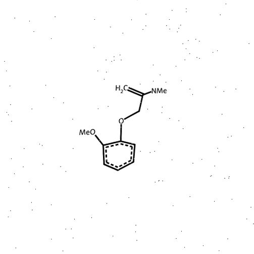 C=C(COc1ccccc1OC)NC